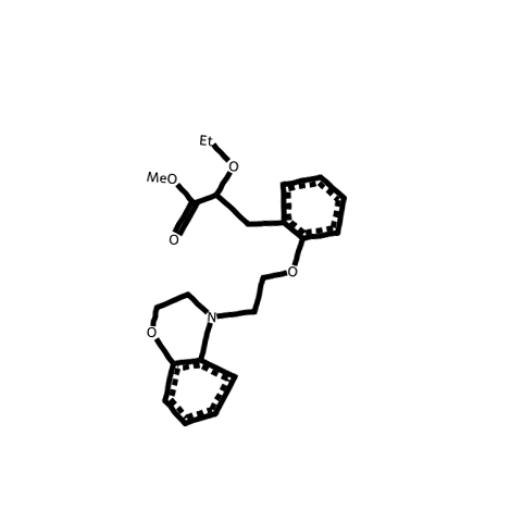 CCOC(Cc1ccccc1OCCN1CCOc2ccccc21)C(=O)OC